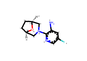 Nc1cc(F)cnc1N1C[C@H]2CC[C@@H](C1)O2